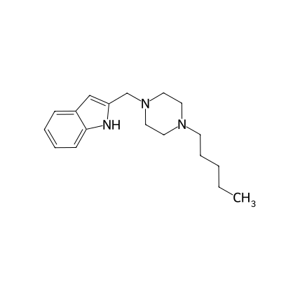 CCCCCN1CCN(Cc2cc3ccccc3[nH]2)CC1